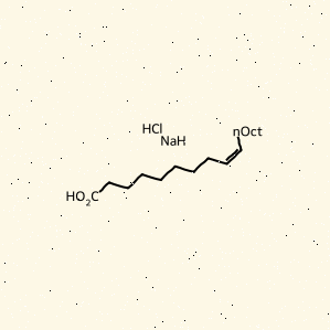 CCCCCCCC/C=C\CCCCCCCC(=O)O.Cl.[NaH]